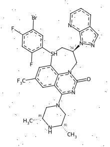 C[C@@H]1CN(c2nc(=O)n3c4c(cc(C(F)(F)F)cc24)[SH](c2cc(Br)c(F)cc2F)C[C@@H](n2ncc4cccnc42)C3)C[C@H](C)N1